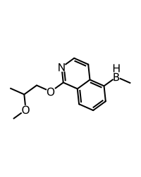 CBc1cccc2c(OCC(C)OC)nccc12